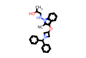 CC(O)CNn1c(C#N)c(OC2CN(C(c3ccccc3)c3ccccc3)C2)c2ccccc21